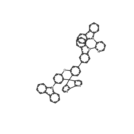 c1cnc(-n2c3ccccc3c3cc(-c4ccc5c(c4)Oc4ccc(-n6c7ccccc7c7ccccc76)cc4C54c5cccnc5-c5ncccc54)ccc32)c(-n2c3ccccc3c3ccccc32)c1